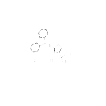 CC(C)(C)C1=CC[C]([Hf+2][CH]2c3ccccc3-c3ccccc32)=C1.[Cl-].[Cl-]